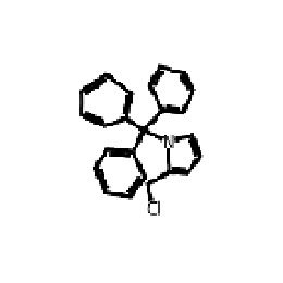 ClCc1cccn1C(c1ccccc1)(c1ccccc1)c1ccccc1